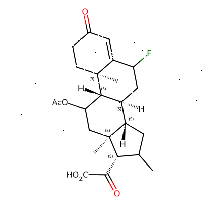 CC(=O)OC1C[C@]2(C)[C@@H](C(=O)C(=O)O)C(C)C[C@H]2[C@@H]2CC(F)C3=CC(=O)CC[C@]3(C)[C@@H]12